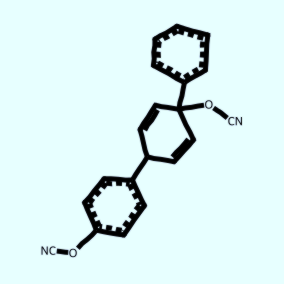 N#COc1ccc(C2C=CC(OC#N)(c3ccccc3)C=C2)cc1